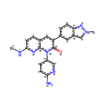 CCNc1ccc2cc(-c3ccc4nn(C)cc4c3)c(=O)n(-c3ccc(N)nc3)c2n1